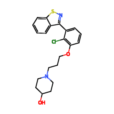 OC1CCN(CCCOc2cccc(-c3nsc4ccccc34)c2Cl)CC1